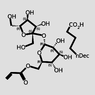 C=CC(=O)OC[C@H]1O[C@H](O[C@]2(CO)O[C@H](CO)[C@@H](O)[C@@H]2O)[C@H](O)[C@@H](O)[C@@H]1O.CCCCCCCCCCCCCC(=O)O